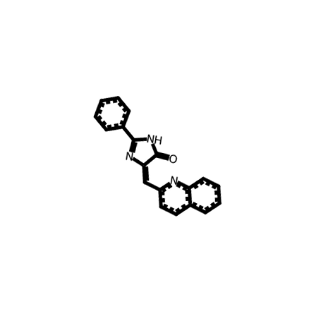 O=C1NC(c2ccccc2)=NC1=Cc1ccc2ccccc2n1